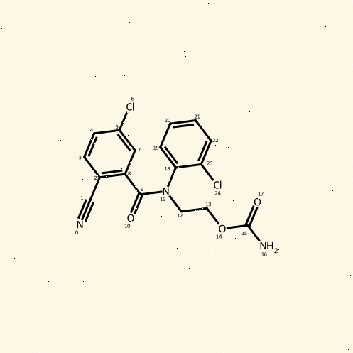 N#Cc1ccc(Cl)cc1C(=O)N(CCOC(N)=O)c1ccccc1Cl